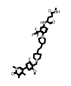 CNC(=O)CCC(C=O)Nc1ccc(N2CCC(CCC3CCN(Cc4c(F)cc(-c5cn(C)c(=O)c(C)c5C)cc4OC)CC3)CC2)c(C(F)(F)F)c1